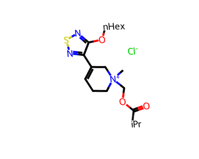 CCCCCCOc1nsnc1C1=CCC[N+](C)(COC(=O)C(C)C)C1.[Cl-]